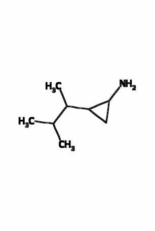 CC(C)C(C)C1CC1N